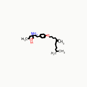 CCC[C@@](N)(CO)CCc1ccc(OCCCCC(C)CCCC(C)C)cc1